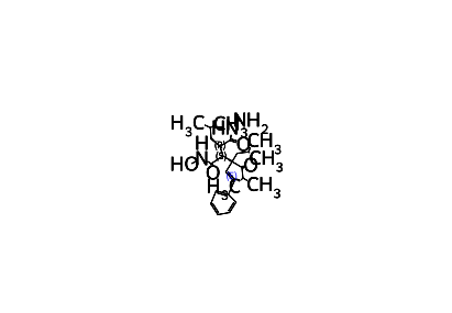 CC(C)C[C@@H](C(=O)NN)[C@H](C(=O)NO)C(/C=C/c1ccccc1)(CC(C)C)C(=O)C(C)C